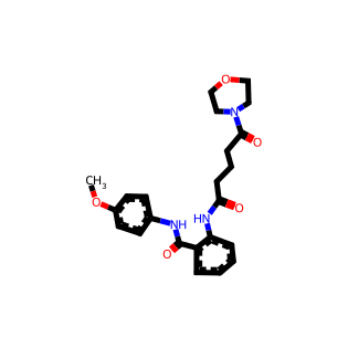 COc1ccc(NC(=O)c2ccccc2NC(=O)CCCC(=O)N2CCOCC2)cc1